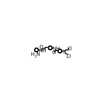 Nc1ccccc1NC(=O)C=Cc1ccc(NC(=O)c2ccc(N(CCCl)CCCl)cc2)cc1